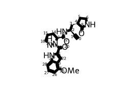 C#C[C@H](C[C@@H]1CCNC1=O)NC(=O)[C@@H]1CCCNN1C(=O)c1cc2c(OC)cccc2[nH]1